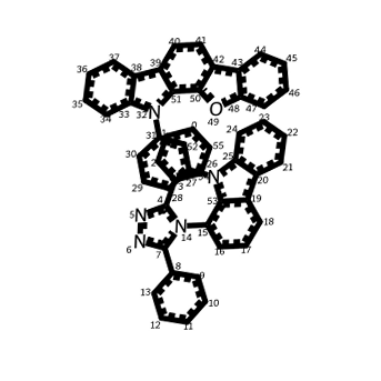 c1ccc(-c2nnc(-c3ccccc3)n2-c2cccc3c4ccccc4n(-c4cccc(-n5c6ccccc6c6ccc7c8ccccc8oc7c65)c4)c23)cc1